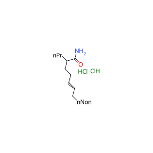 CCCCCCCCCCC=CCCC(CCC)C(N)=O.Cl.Cl